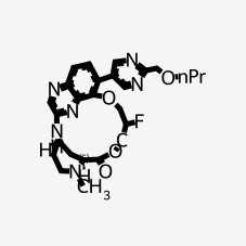 CCCOCc1ncc(-c2ccc3ncc4nc3c2OCC(F)COC(=O)[C@@H]2C[C@H](CCN2C)N4)cn1